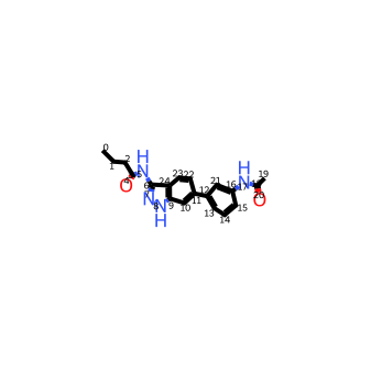 CCCC(=O)Nc1n[nH]c2cc(-c3cccc(NC(C)=O)c3)ccc12